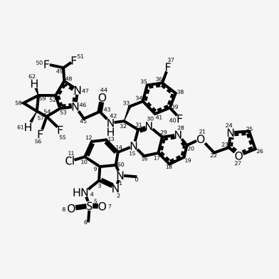 CN1N=C(NS(C)(=O)=O)C2C(Cl)=CC=C(N3Cc4ccc(OCc5ncco5)nc4N=C3[C@H](Cc3cc(F)cc(F)c3)NC(=O)Cn3nc(C(F)F)c4c3C(F)(F)[C@@H]3C[C@H]43)C21